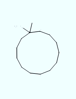 CNC1(C)CCCCCCCCCCCC1